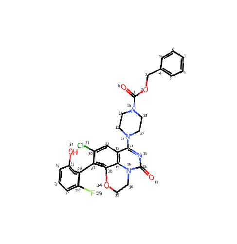 O=C(OCc1ccccc1)N1CCN(c2nc(=O)n3c4c(c(-c5c(O)cccc5F)c(Cl)cc24)OCC3)CC1